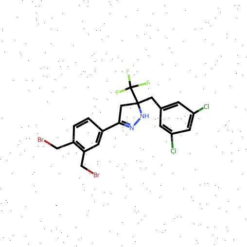 FC(F)(F)C1(Cc2cc(Cl)cc(Cl)c2)CC(c2ccc(CBr)c(CBr)c2)=NN1